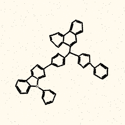 c1ccc(-c2ccc(C(c3ccc(-c4ccc5c6ccccc6n(-c6ccccc6)c5c4)cc3)c3cc4ccccc4c4ccccc34)cc2)cc1